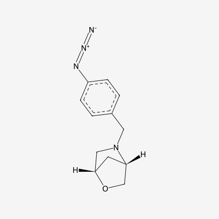 [N-]=[N+]=Nc1ccc(CN2C[C@@H]3C[C@H]2CO3)cc1